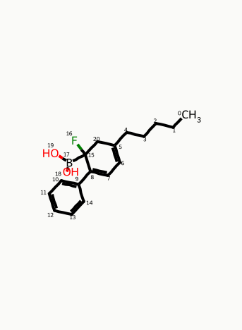 CCCCCC1=CC=C(c2ccccc2)C(F)(B(O)O)C1